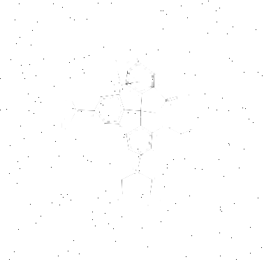 CCOc1cc(N(CC)CC)ccc1C1(c2ccc(N(C)C)cc2N(C)C)OC(=O)c2ccccc21